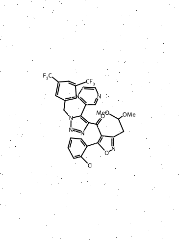 COC(Cc1noc(-c2ccccc2Cl)c1C(=O)c1nnn(Cc2cc(C(F)(F)F)cc(C(F)(F)F)c2)c1-c1cnccn1)OC